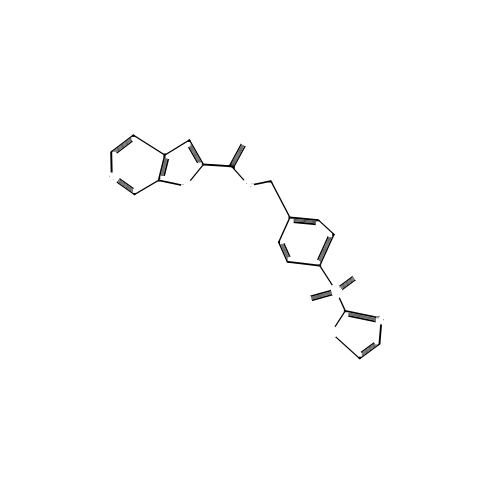 O=C(NCc1ccc(S(=O)(=O)c2nccs2)cc1)c1cc2ccncc2s1